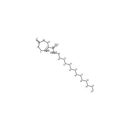 C=C1CCNC(C(=O)NCCCCCCCCCCCCCC)CC1